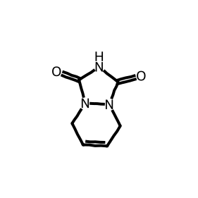 O=c1[nH]c(=O)n2n1CC=CC2